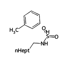 CCCCCCCCN[SH](=O)=O.Cc1ccccc1